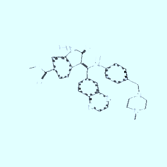 COC(=O)c1ccc2c(c1)NC(=O)/C2=C(\Nc1ccc(CN2CCN(C)CC2)cc1)c1ccc2nccnc2c1